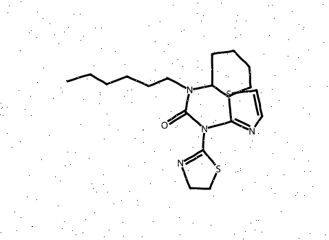 CCCCCCN(C(=O)N(C1=NCCS1)c1nccs1)C1CCCCC1